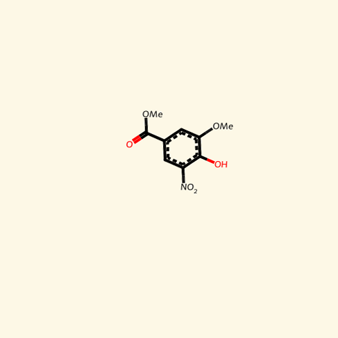 COC(=O)c1cc(OC)c(O)c([N+](=O)[O-])c1